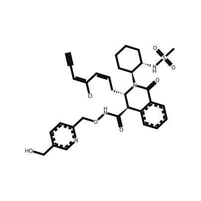 C#C/C=C(Cl)\C=C/C[C@H]1[C@H](C(=O)NOCc2ccc(CO)cn2)c2ccccc2C(=O)N1[C@H]1CCCC[C@@H]1NS(C)(=O)=O